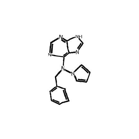 c1ccc(CN(c2ncnc3[nH]cnc23)n2cccc2)cc1